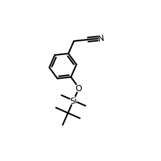 CC(C)(C)[Si](C)(C)Oc1cccc(CC#N)c1